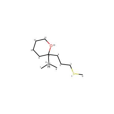 CSCCCC1([SiH](C)C)CCCCO1